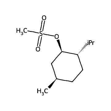 CC(C)[C@@H]1CC[C@@H](C)C[C@H]1OS(C)(=O)=O